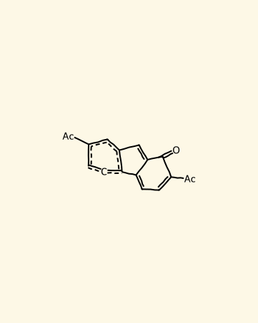 CC(=O)C1=CC=C2C(=Cc3cc(C(C)=O)ccc32)C1=O